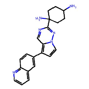 NC1CCC(N)(c2ncc3c(-c4ccc5ncccc5c4)ccn3n2)CC1